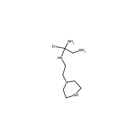 CCC(N)(CN)NCCN1CCNCC1